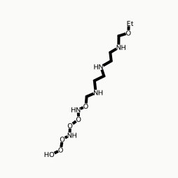 CCOCNCCNCCNCONOONOOO